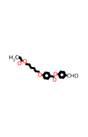 C=CC(=O)OCCCCCCOc1ccc(C(=O)Oc2ccc(C=O)cc2)cc1